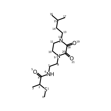 CSC(C)C(=O)NCCN1CCN(CCC(C)C)C(=O)C1=O